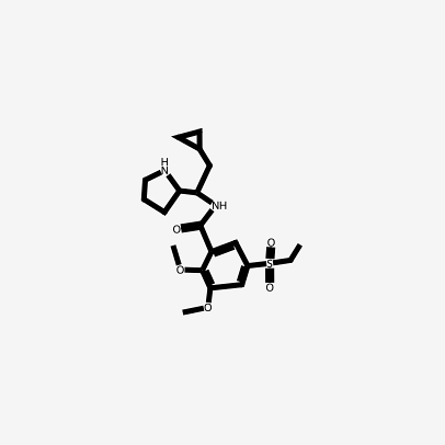 CCS(=O)(=O)c1cc(OC)c(OC)c(C(=O)NC(CC2CC2)C2CCCN2)c1